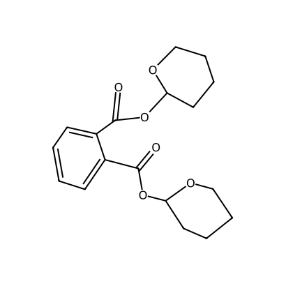 O=C(OC1CCCCO1)c1ccccc1C(=O)OC1CCCCO1